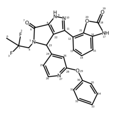 CC(F)(F)CN1C(=O)c2[nH]nc(-c3cccc4[nH]c(=O)oc34)c2C1c1ccnc(Oc2ccccc2)c1